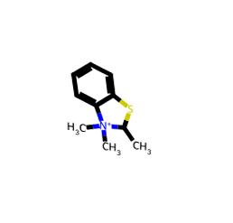 CC1Sc2ccccc2[N+]1(C)C